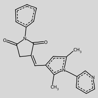 Cc1cc(/C=C2/CC(=O)N(c3ccccc3)C2=O)c(C)n1-c1cccnc1